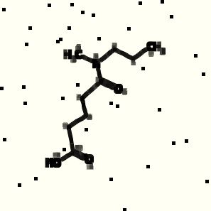 CCCN(C)C(=O)CCCC(=O)O